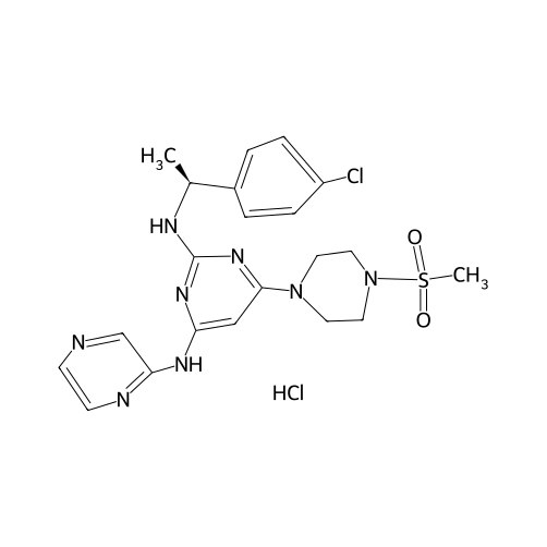 C[C@H](Nc1nc(Nc2cnccn2)cc(N2CCN(S(C)(=O)=O)CC2)n1)c1ccc(Cl)cc1.Cl